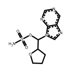 NS(=O)(=O)OC(C1CCCO1)n1cnc2cncnc21